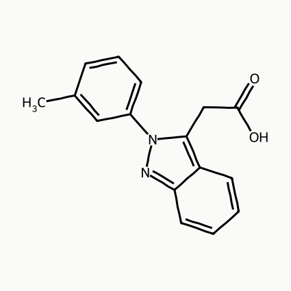 Cc1cccc(-n2nc3ccccc3c2CC(=O)O)c1